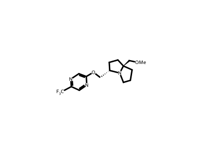 COC[C@@]12CCCN1[C@H](COc1cnc(C(F)(F)F)cn1)CC2